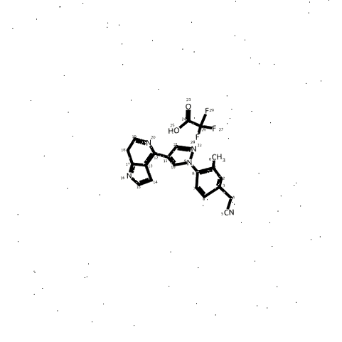 Cc1cc(CC#N)ccc1-n1cc(C2=C3C=CN=C3CC=N2)cn1.O=C(O)C(F)(F)F